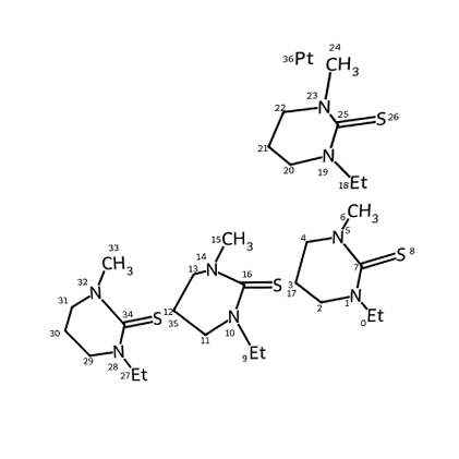 CCN1CCCN(C)C1=S.CCN1CCCN(C)C1=S.CCN1CCCN(C)C1=S.CCN1CCCN(C)C1=S.[Pt]